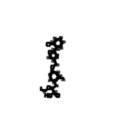 CCO[C@@H](Cc1ccc(OCc2coc(-c3ccccc3Cl)n2)cc1C)C(=O)O